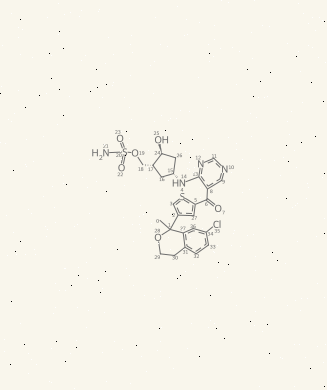 CC1(c2csc(C(=O)c3cncnc3N[C@@H]3C[C@H](COS(N)(=O)=O)[C@@H](O)C3)c2)OCCc2ccc(Cl)cc21